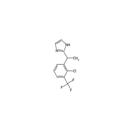 CC(c1ncc[nH]1)c1cccc(C(F)(F)F)c1Cl